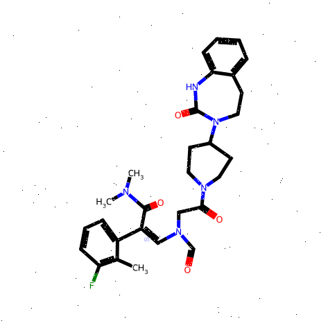 Cc1c(F)cccc1/C(=C/N(C=O)CC(=O)N1CCC(N2CCc3ccccc3NC2=O)CC1)C(=O)N(C)C